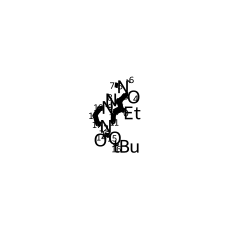 CCc1c(C(=O)N(C)C)nn2c1CN(C(=O)OC(C)(C)C)CCC2